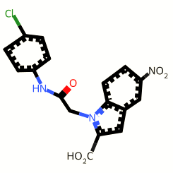 O=C(Cn1c(C(=O)O)cc2cc([N+](=O)[O-])ccc21)Nc1ccc(Cl)cc1